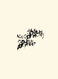 COc1cc(-n2cc(/C(C(C)=N)=C(\C)N)ccc2=O)ccc1C/C(N)=C(/C(C)=N)c1ccc(=O)n(-c2ccc(F)cc2)c1